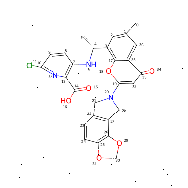 Cc1cc([C@@H](C)Nc2ccc(Cl)nc2C(=O)O)c2oc(N3Cc4ccc5c(c4C3)OCO5)cc(=O)c2c1